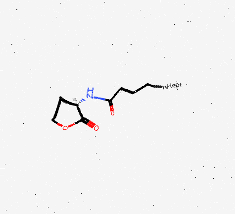 CCCCCCCCCCC(=O)N[C@H]1CCOC1=O